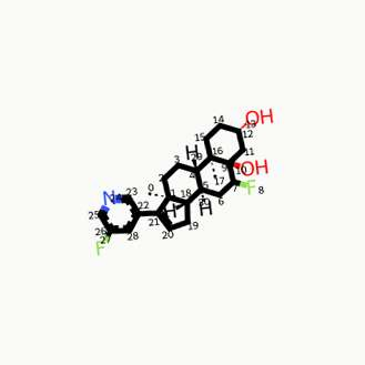 C[C@]12CC[C@H]3[C@@H](CC(F)C4(O)C[C@@H](O)CC[C@]34C)[C@@H]1CC=C2c1cncc(F)c1